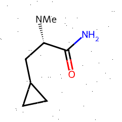 CN[C@@H](CC1CC1)C(N)=O